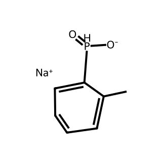 Cc1ccccc1[PH](=O)[O-].[Na+]